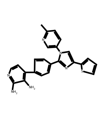 Cc1ccc(-n2cc(-c3cccs3)nc2-c2ccc(-c3ccnc(N)c3N)cc2)cn1